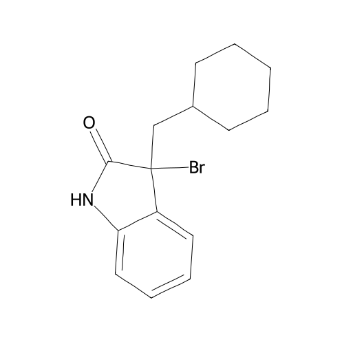 O=C1Nc2ccccc2C1(Br)CC1CCCCC1